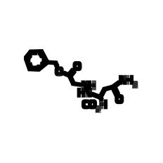 NC(=O)C[C@H](NNCC(=O)OCc1ccccc1)C(=O)O